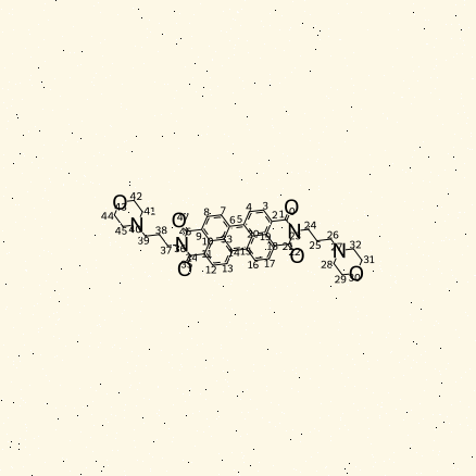 O=C1c2ccc3c4ccc5c6c(ccc(c7ccc(c2c37)C(=O)N1CCCN1CCOCC1)c64)C(=O)N(CCCN1CCOCC1)C5=O